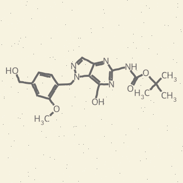 COc1cc(CO)ccc1Cn1ncc2nc(NC(=O)OC(C)(C)C)nc(O)c21